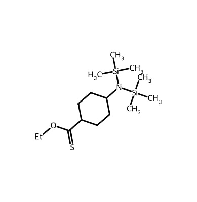 CCOC(=S)C1CCC(N([Si](C)(C)C)[Si](C)(C)C)CC1